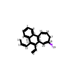 C=Cc1c2c(c3ccccc3c1/C=C\C)C=CCC(I)=C2